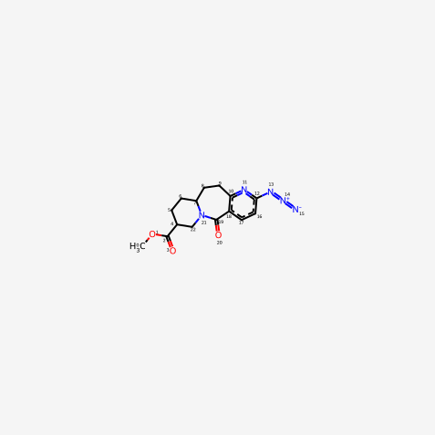 COC(=O)C1CCC2CCc3nc(N=[N+]=[N-])ccc3C(=O)N2C1